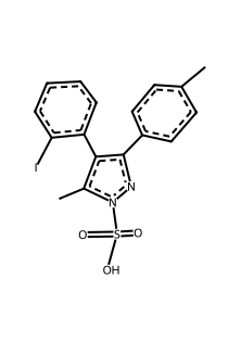 Cc1ccc(-c2nn(S(=O)(=O)O)c(C)c2-c2ccccc2I)cc1